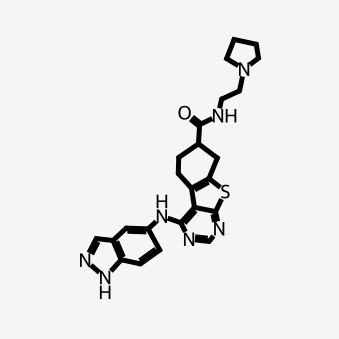 O=C(NCCN1CCCC1)C1CCc2c(sc3ncnc(Nc4ccc5[nH]ncc5c4)c23)C1